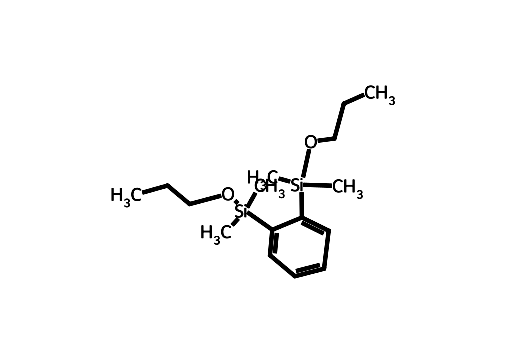 CCCO[Si](C)(C)c1ccccc1[Si](C)(C)OCCC